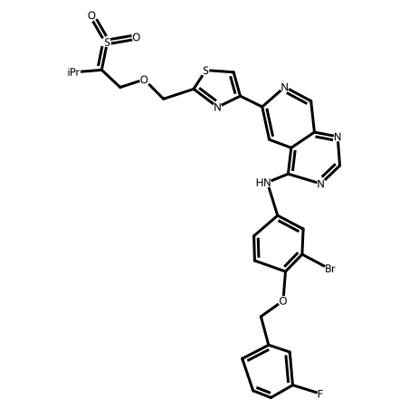 CC(C)C(COCc1nc(-c2cc3c(Nc4ccc(OCc5cccc(F)c5)c(Br)c4)ncnc3cn2)cs1)=S(=O)=O